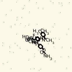 CS(=O)(=O)O.Cc1nn(-c2cc(F)c(C(N)=O)c(NC3CCC(OC(=O)CN)CC3)c2)c2c1CCC(C)(C)C2